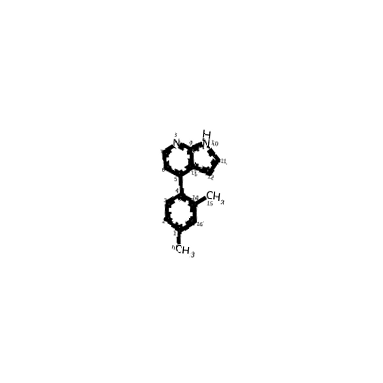 Cc1ccc(-c2ccnc3[nH]ccc23)c(C)c1